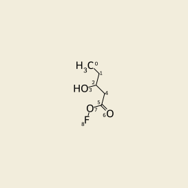 CCC(O)CC(=O)OF